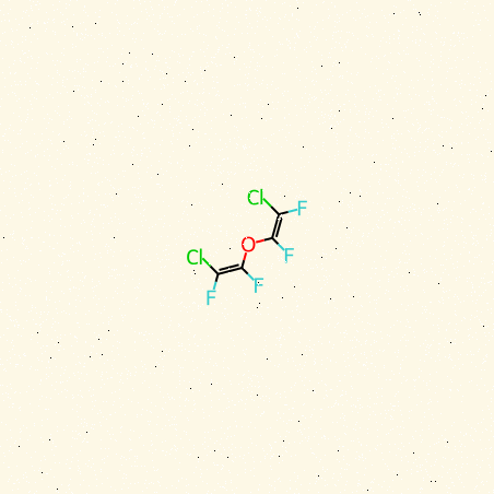 FC(Cl)=C(F)OC(F)=C(F)Cl